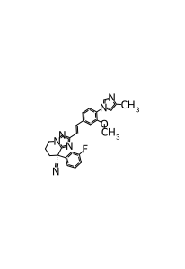 COc1cc(/C=C/c2nc3n(n2)CCC[C@]3(C#N)c2cccc(F)c2)ccc1-n1cnc(C)c1